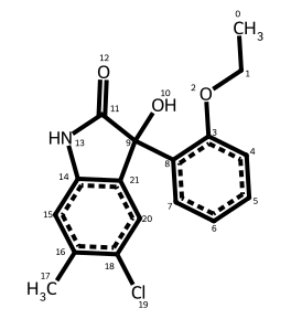 CCOc1ccccc1C1(O)C(=O)Nc2cc(C)c(Cl)cc21